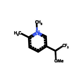 COC(c1ccc(C)[n+](C)c1)C(F)(F)F